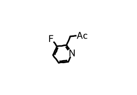 CC(=O)Cc1ncccc1F